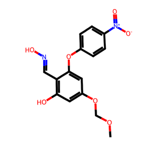 COCOc1cc(O)c(/C=N/O)c(Oc2ccc([N+](=O)[O-])cc2)c1